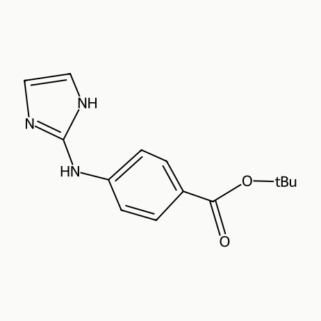 CC(C)(C)OC(=O)c1ccc(Nc2ncc[nH]2)cc1